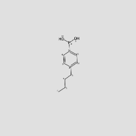 CCCCc1ccc(P(O)O)cc1